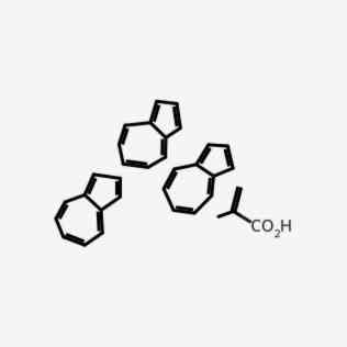 C=C(C)C(=O)O.c1ccc2cccc-2cc1.c1ccc2cccc-2cc1.c1ccc2cccc-2cc1